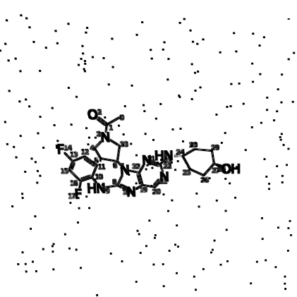 CC(=O)N1CCC(n2c(Nc3ccc(F)cc3F)nc3cnc(N[C@H]4CC[C@H](O)CC4)nc32)C1